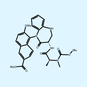 COC(=O)c1ccc2c(N3C(=O)[C@@H](NC(=O)[C@H](C)N(C)C(=O)OC(C)(C)C)CNc4ccccc43)c(OC)ccc2c1